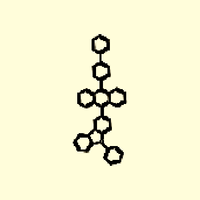 c1ccc(-c2ccc(-c3c4ccccc4c(-c4ccc5c(c4)c4ccccc4n5-c4ccccc4)c4ccccc34)cc2)cc1